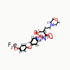 NC(=O)C(CCN1CCOCC1)CS(=O)(=O)c1ccc(Oc2ccc(OC(F)(F)F)cc2)cc1